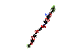 O=C(C=Cc1ccc(OC(=O)c2ccc(OCCCC(F)(F)F)cc2)cc1)OCCCCCCOC(=O)/C=C/c1ccc(OC(=O)c2ccc(NC(=O)OCCCC(F)(F)C(F)(F)C(F)(F)F)cc2)cc1